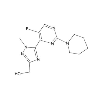 Cn1nc(CO)nc1-c1nc(N2CCCCC2)ncc1F